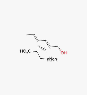 C=C.CC=CC=CCO.CCCCCCCCCCCC(=O)O